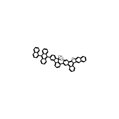 CC1(C)c2ccc(-c3c4ccccc4c(-c4cccc5ccccc45)c4ccccc34)cc2-c2cccc(-c3ccc4c(c3)c3ccccc3c3c5cc6ccccc6cc5oc43)c21